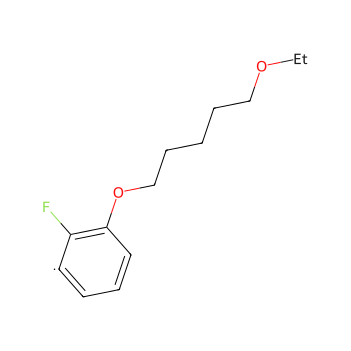 CCOCCCCCOc1ccc[c]c1F